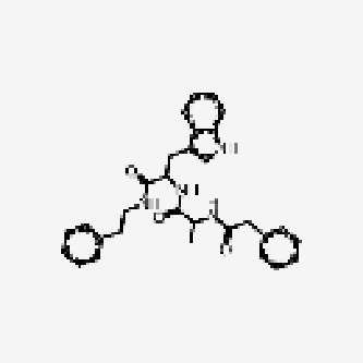 CC(NC(=O)Cc1ccccc1)C(=O)NC(Cc1c[nH]c2ccccc12)C(=O)NCCc1ccccc1